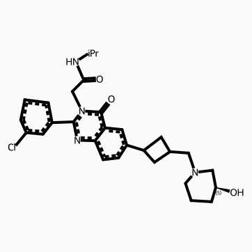 CC(C)NC(=O)Cn1c(-c2cccc(Cl)c2)nc2ccc(C3CC(CN4CCC[C@H](O)C4)C3)cc2c1=O